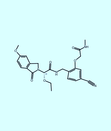 CCO[C@@H](C(=O)NCc1ccc(C#N)cc1OCC(=O)NC)N1Cc2cc(OC)ccc2C1=O